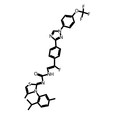 Cc1ccc(C(C)C)c(-n2c(C)cs/c2=N\C(=O)N/C=C(\F)c2ccc(-c3ncn(-c4ccc(OC(F)(F)F)cc4)n3)cc2)c1